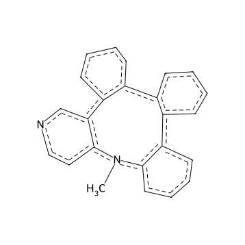 Cn1c2ccccc2c2ccccc2c2ccccc2c2cnccc21